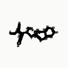 C=C(C)C(=O)C(N)Cc1cc2ccccc2[nH]1